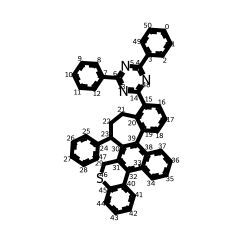 c1ccc(-c2nc(-c3ccccc3)nc(-c3cccc4c3CCC(c3ccccc3)c3c5c(c6ccccc6c3-4)-c3ccccc3SC5)n2)cc1